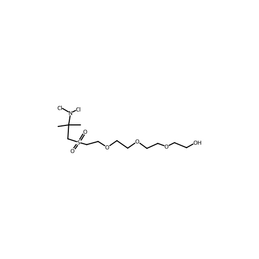 CC(C)(CS(=O)(=O)CCOCCOCCOCCO)N(Cl)Cl